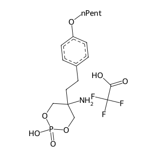 CCCCCOc1ccc(CCC2(N)COP(=O)(O)OC2)cc1.O=C(O)C(F)(F)F